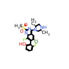 C[C@@H]1CN(c2nc(S(C)(=O)=O)nc3c(F)c(-c4c(O)cccc4F)c(Cl)cc23)[C@@H](C)CN1